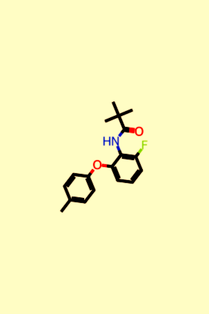 Cc1ccc(Oc2cccc(F)c2NC(=O)C(C)(C)C)cc1